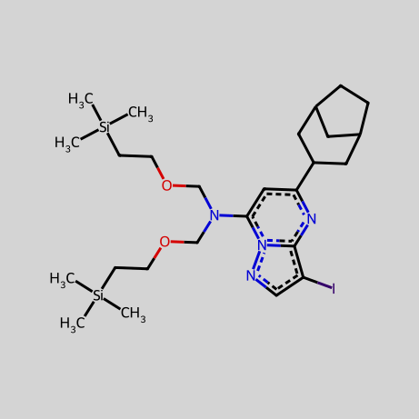 C[Si](C)(C)CCOCN(COCC[Si](C)(C)C)c1cc(C2CC3CCC(C3)C2)nc2c(I)cnn12